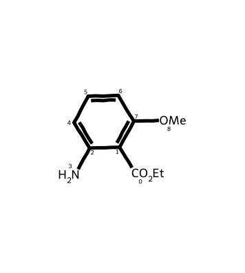 CCOC(=O)c1c(N)cccc1OC